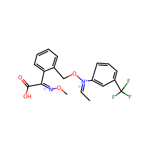 C/C=[N+](/OCc1ccccc1/C(=N\OC)C(=O)O)c1cccc(C(F)(F)F)c1